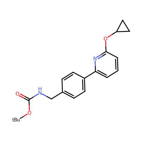 CC(C)(C)OC(=O)NCc1ccc(-c2cccc(OC3CC3)n2)cc1